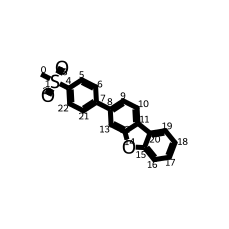 CS(=O)(=O)c1ccc(-c2ccc3c(c2)oc2ccccc23)cc1